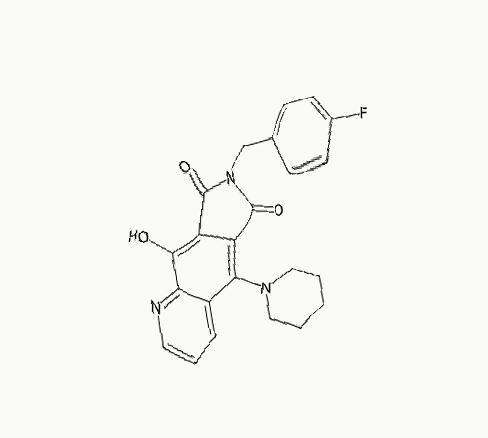 O=C1c2c(c(O)c3ncccc3c2N2CCCCC2)C(=O)N1Cc1ccc(F)cc1